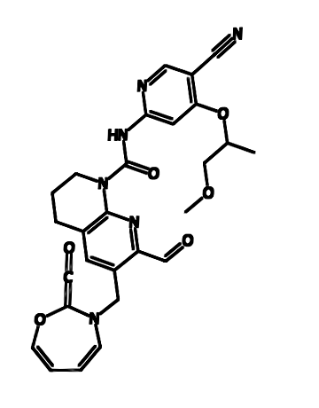 COCC(C)Oc1cc(NC(=O)N2CCCc3cc(CN4C=CC=COC4=C=O)c(C=O)nc32)ncc1C#N